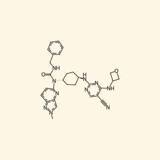 Cn1cc2nc(N(C(=O)NCc3ccccc3)[C@H]3CC[C@H](Nc4ncc(C#N)c(NC5COC5)n4)CC3)ccc2n1